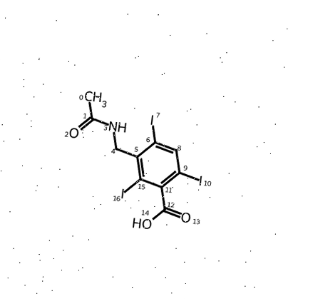 CC(=O)NCc1c(I)cc(I)c(C(=O)O)c1I